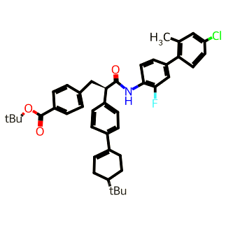 Cc1cc(Cl)ccc1-c1ccc(NC(=O)[C@H](Cc2ccc(C(=O)OC(C)(C)C)cc2)c2ccc(C3=CCC(C(C)(C)C)CC3)cc2)c(F)c1